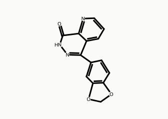 O=c1[nH]nc(-c2ccc3c(c2)OCO3)c2cccnc12